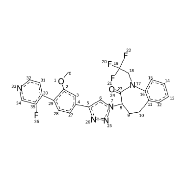 COc1cc(-c2cn(C3CCc4ccccc4N(CC(F)(F)F)C3=O)nn2)ccc1-c1ccncc1F